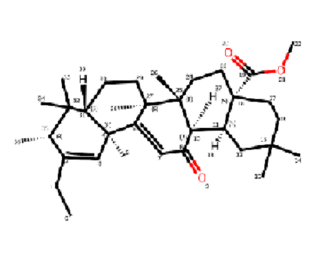 CCC1=C[C@]2(C)C3=CC(=O)[C@@H]4[C@@H]5CC(C)(C)CC[C@]5(C(=O)OC)CC[C@@]4(C)[C@]3(C)CC[C@H]2C(C)(C)[C@H]1C